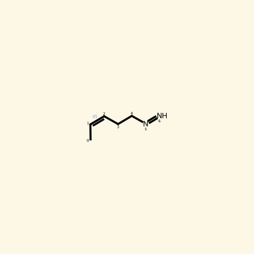 C/C=C\CCN=N